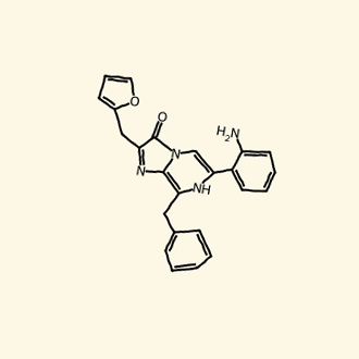 Nc1ccccc1-c1cn2c(=O)c(Cc3ccco3)nc-2c(Cc2ccccc2)[nH]1